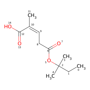 CCC(C)(C)OC(=O)CC=C(C)C(=O)O